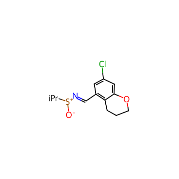 CC(C)[S+]([O-])/N=C/c1cc(Cl)cc2c1CCCO2